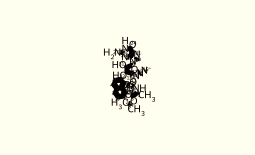 CC(C)OC(=O)[C@H](C)NP(=O)(OC[C@@]1(N=[N+]=[N-])O[C@@H](n2cnc3c(=O)[nH]c(N)nc32)[C@H](O)[C@@H]1O)Oc1cccc2ccccc12